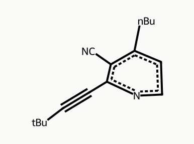 CCCCc1ccnc(C#CC(C)(C)C)c1C#N